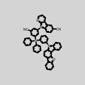 N#Cc1cc(-n2c3ccc(C#N)cc3c3cccnc32)cc([Si](c2ccccc2)(c2ccccc2)c2cccc(-n3c4ccccc4c4c5oc6ccccc6c5ccc43)c2)c1